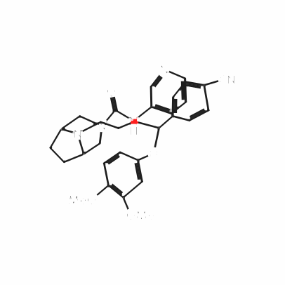 COc1ccc(OC(CCCN2C3CCC2CN(C(=O)Nc2cccnc2)C3)c2ccc(C#N)cc2)cc1OC